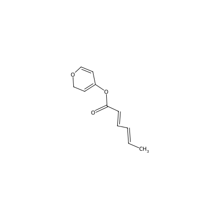 CC=CC=CC(=O)OC1=CCOC=C1